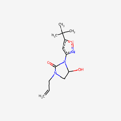 C=CCN1CC(O)N(c2cc(C(C)(C)C)on2)C1=O